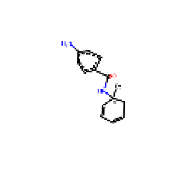 CC[C@]1(NC(=O)c2ccc(N)cc2)C=CC=CC1